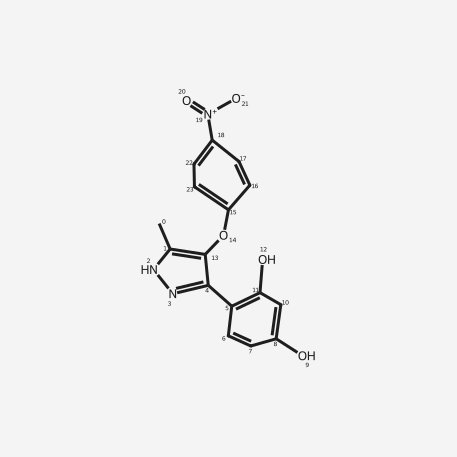 Cc1[nH]nc(-c2ccc(O)cc2O)c1Oc1ccc([N+](=O)[O-])cc1